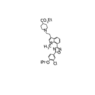 CCOC(=O)C1CCN(CCc2cn(C)c3c(-c4noc(-c5ccc(OC(C)C)c(Cl)c5)n4)cccc23)CC1